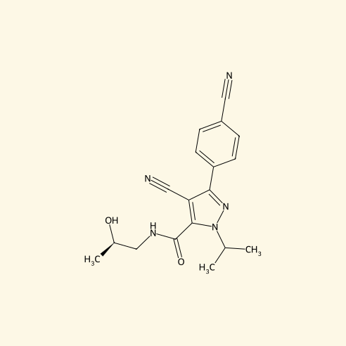 CC(C)n1nc(-c2ccc(C#N)cc2)c(C#N)c1C(=O)NC[C@@H](C)O